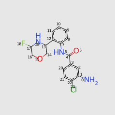 Nc1cc(C(=O)Nc2ccccc2C2COCC(F)N2)ccc1Cl